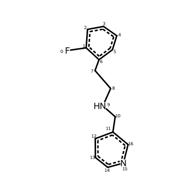 Fc1ccccc1CCNCc1cccnc1